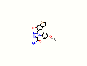 COc1ccc(-n2c(C(N)=O)nnc2-c2cc3c(cc2O)SCC3)cc1